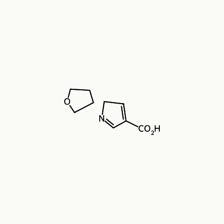 C1CCOC1.O=C(O)C1=CCN=C1